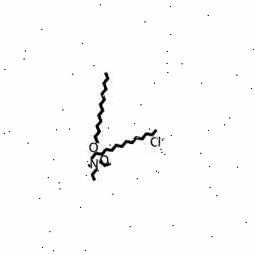 CCCCCCCCCCCCCCOC(C[N+](C)(CCC)CCC)C(=O)CCCCCCCCCCC.[Cl-]